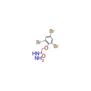 NNC(=O)COc1c(Br)cc(Br)cc1Br